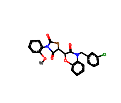 CCOc1ccccc1N1C(=O)SC(C2Oc3ccccc3N(Cc3cccc(Cl)c3)C2=O)C1=O